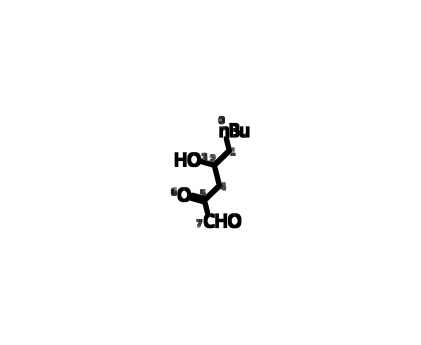 CCCCCC(O)CC(=O)C=O